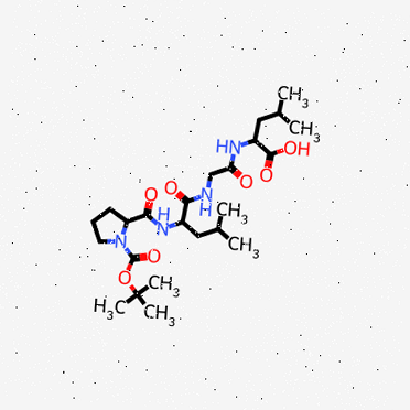 CC(C)CC(NC(=O)CNC(=O)C(CC(C)C)NC(=O)C1CCCN1C(=O)OC(C)(C)C)C(=O)O